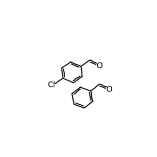 O=Cc1ccc(Cl)cc1.O=Cc1ccccc1